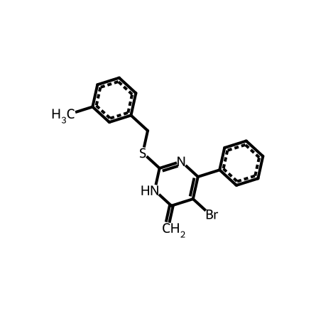 C=C1NC(SCc2cccc(C)c2)=NC(c2ccccc2)=C1Br